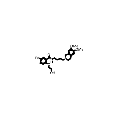 COc1cc2c(cc1OC)CN(CCCCNC(=O)c1cc(Br)ccc1OCCO)CC2